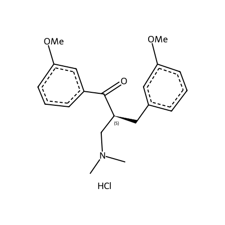 COc1cccc(C[C@@H](CN(C)C)C(=O)c2cccc(OC)c2)c1.Cl